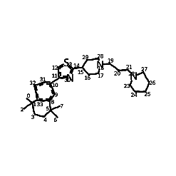 CC1(C)CCC(C)(C)c2cc(-c3csc(C4CCN(CCCN5CCCCC5)CC4)n3)ccc21